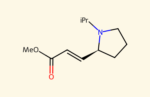 COC(=O)/C=C/[C@@H]1CCCN1C(C)C